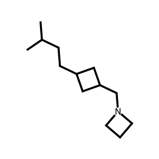 CC(C)CCC1CC(CN2CCC2)C1